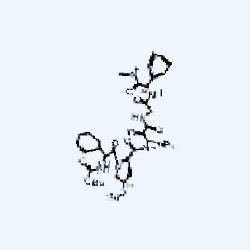 CCCC(NC(=O)C1C[C@@H](OC(C)(C)C)CN1C(=O)C(NC(=O)OCC(C)C)C1CCCCC1)C(=O)C(=O)NCC(=O)N[C@H](C(=O)N(C)C)c1ccccc1